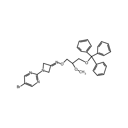 COC(CON=C1CN(c2ncc(Br)cn2)C1)COC(c1ccccc1)(c1ccccc1)c1ccccc1